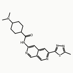 Cc1nnc(-c2cc3cc(NC(=O)C4CCC(N(C)C)CC4)ncc3cn2)s1